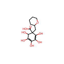 O=C(O)C1(CC2CCCCO2)C(O)=C(O)C(O)=C(O)C1O